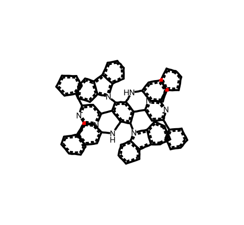 c1ccc(Nc2c(-c3cc(-c4ccccc4)nc(-c4ccccc4)n3)c(-n3c4ccccc4c4ccccc43)c(Nc3ccccc3)c(-c3cc(-c4ccccc4)nc(-c4ccccc4)n3)c2-n2c3ccccc3c3ccccc32)cc1